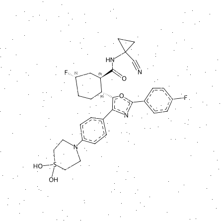 N#CC1(NC(=O)[C@@H]2C[C@@H](F)CC[C@H]2c2oc(-c3ccc(F)cc3)nc2-c2ccc(N3CCS(O)(O)CC3)cc2)CC1